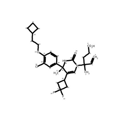 C=CC(C)(CCC(=O)O)N1C=C(C2CC(F)(F)C2)[C@](C)(c2ccc(OCCC3CCC3)c(Cl)c2)NC1=O